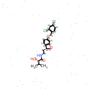 CC(C)[C@@H](O)C(=O)NCC[C@@H]1COc2cc(OCc3ccc(Cl)cc3Cl)ccc21